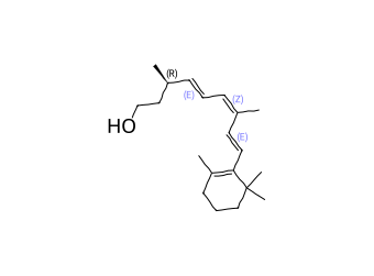 CC1=C(/C=C/C(C)=C\C=C\[C@H](C)CCO)C(C)(C)CCC1